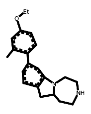 CCOc1ccc(-c2ccc3c(c2)N2CCNCCC2C3)c(C)c1